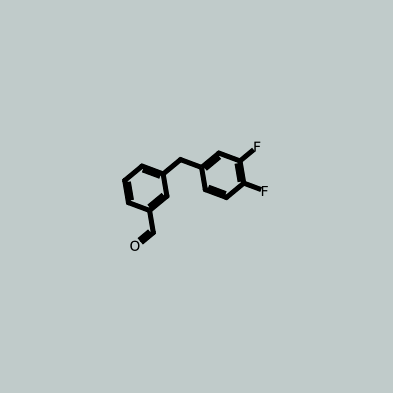 O=Cc1cccc(Cc2ccc(F)c(F)c2)c1